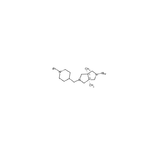 CC(C)N1CCC(CN2C[C@@]3(C)CN(C(C)(C)C)C[C@@]3(C)C2)CC1